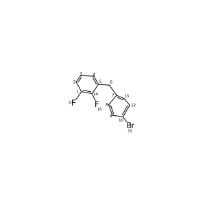 Fc1cccc(Cc2ccc(Br)cc2)c1F